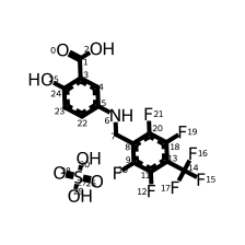 O=C(O)c1cc(NCc2c(F)c(F)c(C(F)(F)F)c(F)c2F)ccc1O.O=S(=O)(O)O